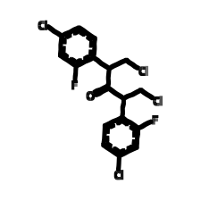 O=C(C(CCl)c1ccc(Cl)cc1F)C(CCl)c1ccc(Cl)cc1F